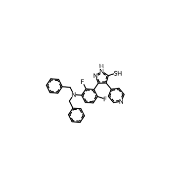 Fc1ccc(N(Cc2ccccc2)Cc2ccccc2)c(F)c1-c1n[nH]c(S)c1-c1ccncc1